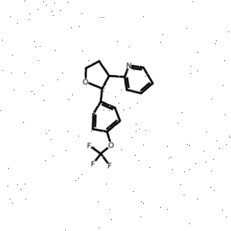 FC(F)(F)Oc1ccc([C]2OCCC2c2ccccn2)cc1